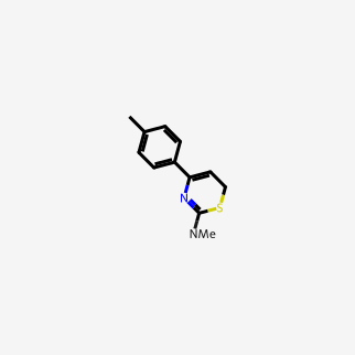 CNC1=NC(c2ccc(C)cc2)=CCS1